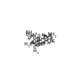 COCC(=O)N1CC2(CCCN(c3nc(OC(C)[C@@H]4CCCN4C)nc4c(F)c(-c5ccc(F)c6sc(N)c(C#N)c56)c(Cl)cc34)C2)C1